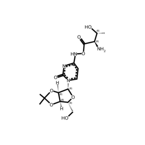 C[C@@H](O)[C@@H](N)C(=O)ONc1ccn([C@@H]2O[C@H](CO)[C@H]3OC(C)(C)O[C@H]32)c(=O)n1